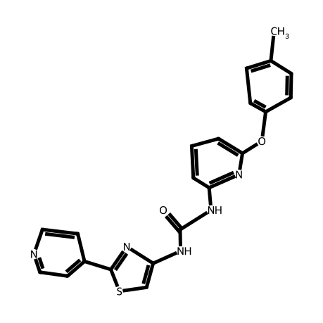 Cc1ccc(Oc2cccc(NC(=O)Nc3csc(-c4ccncc4)n3)n2)cc1